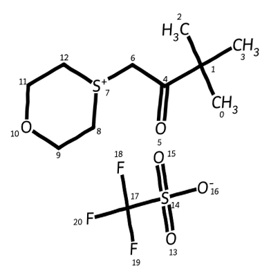 CC(C)(C)C(=O)C[S+]1CCOCC1.O=S(=O)([O-])C(F)(F)F